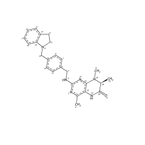 Cc1nc(NCc2ccc(CN3CCc4ccccc43)cc2)nc2c1NC(=O)[C@H](C)N2C